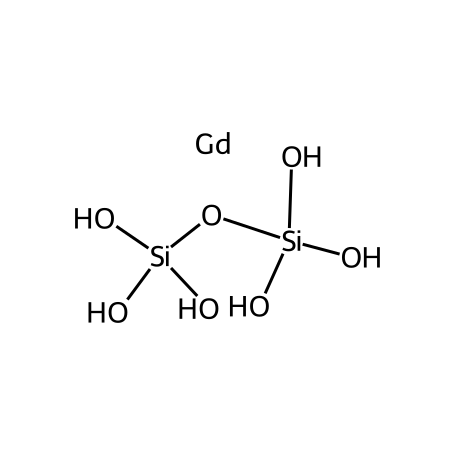 O[Si](O)(O)O[Si](O)(O)O.[Gd]